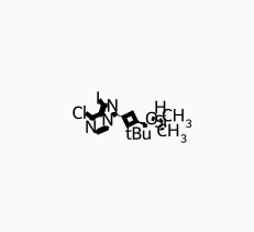 C[SiH](C)OC([C@H]1C[C@H](c2nc(I)c3c(Cl)nccn32)C1)C(C)(C)C